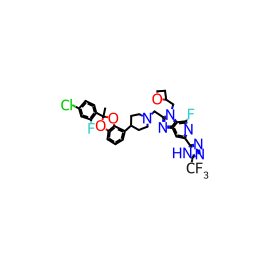 CC1(c2ccc(Cl)cc2F)Oc2cccc(C3CCN(Cc4nc5cc(-c6nnc(C(F)(F)F)[nH]6)nc(F)c5n4CC4CCO4)CC3)c2O1